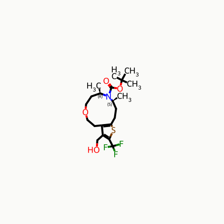 C[C@@H]1CCOCCc2c(sc(C(F)(F)F)c2CO)CC[C@H](C)N1C(=O)OC(C)(C)C